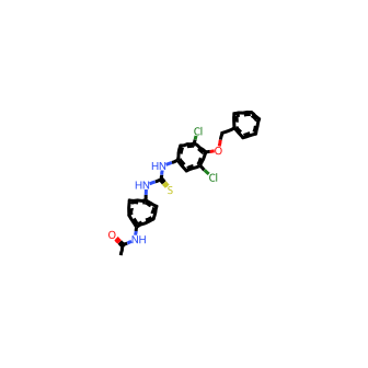 CC(=O)Nc1ccc(NC(=S)Nc2cc(Cl)c(OCc3ccccc3)c(Cl)c2)cc1